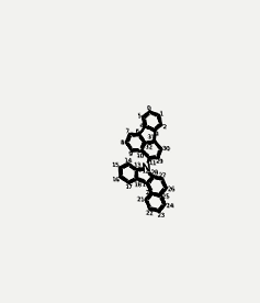 c1ccc2c(c1)-c1cccc3c(-n4c5ccccc5c5c6ccccc6ccc54)ccc-2c13